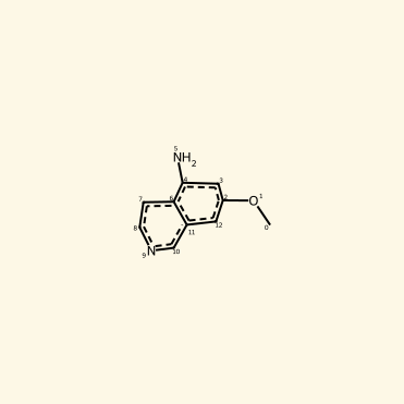 COc1cc(N)c2ccncc2c1